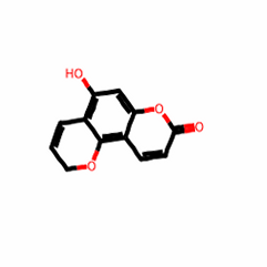 O=c1ccc2c3c(c(O)cc2o1)C=CCO3